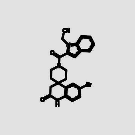 N#CCn1c(C(=O)N2CCC3(CC2)CC(=O)Nc2ccc(Br)cc23)cc2ccccc21